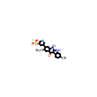 CCn1c2cc(-c3cncc(OS(=O)(=O)F)c3)c(OCC(C)C)cc2c(=O)c2c3ccc(C#N)cc3[nH]c21